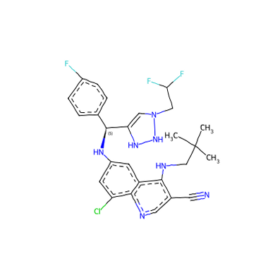 CC(C)(C)CNc1c(C#N)cnc2c(Cl)cc(N[C@H](C3=CN(CC(F)F)NN3)c3ccc(F)cc3)cc12